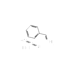 C=Cc1ccccc1.Cl.N=[N+]=N